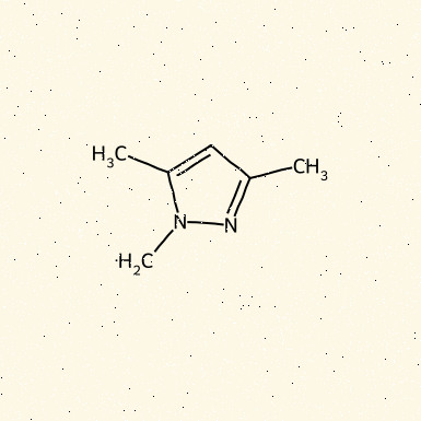 [CH2]n1nc(C)cc1C